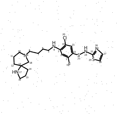 Fc1cc(NCCCCN2CCCC3(CCCN3)C2)c(Cl)cc1SNc1nccs1